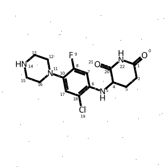 O=C1CCC(Nc2cc(F)c(N3CCNCC3)cc2Cl)C(=O)N1